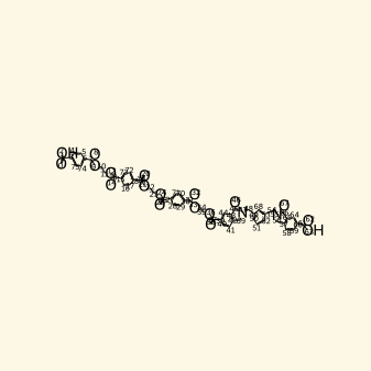 O=C(O)c1ccc(C(=O)OCCOC(=O)c2ccc(C(=O)OCCOC(=O)c3ccc(C(=O)OCCOC(=O)c4ccc5c(c4)C(=O)N(Cc4cccc(CN6Cc7ccc(C(=O)O)cc7C6=O)c4)C5)cc3)cc2)cc1